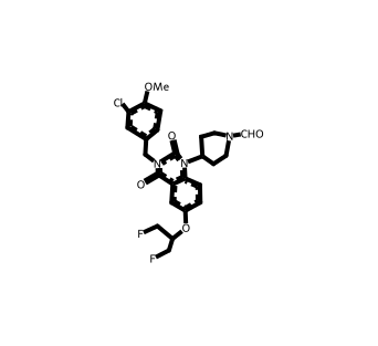 COc1ccc(Cn2c(=O)c3cc(OC(CF)CF)ccc3n(C3CCN(C=O)CC3)c2=O)cc1Cl